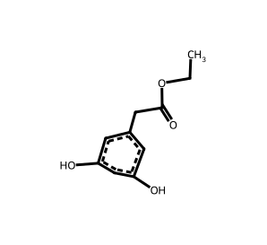 CCOC(=O)Cc1cc(O)cc(O)c1